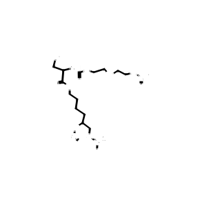 O=C(NC(CO)C(=O)OCCCCC(CO[N+](=O)[O-])O[N+](=O)[O-])OCCOCCO[N+](=O)[O-]